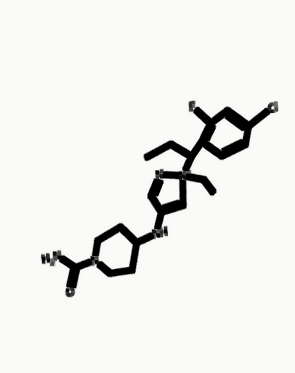 CCC(c1ccc(Cl)cc1F)[N+]1(CC)C=C(NC2CCN(C(N)=O)CC2)C=N1